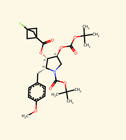 COc1ccc(C[C@@H]2[C@H](OC(=O)C34CC(F)(C3)C4)[C@@H](OC(=O)OC(C)(C)C)CN2C(=O)OC(C)(C)C)cc1